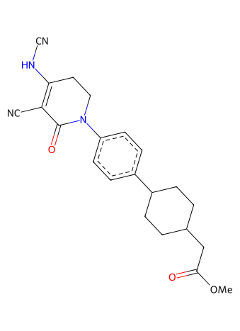 COC(=O)CC1CCC(c2ccc(N3CCC(NC#N)=C(C#N)C3=O)cc2)CC1